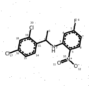 CC(Nc1cc(F)ccc1[N+](=O)[O-])c1ccc(Cl)cc1Cl